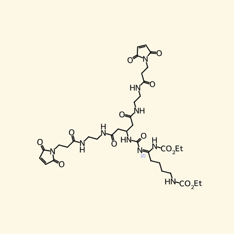 CCOC(=O)NCCCC/C(=N/C(=O)NC(CC(=O)NCCNC(=O)CCN1C(=O)C=CC1=O)CC(=O)NCCNC(=O)CCN1C(=O)C=CC1=O)NC(=O)OCC